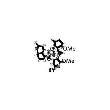 COc1ccc(C)cc1[C@@]1(C(=O)NS(=O)(=O)c2cccc3nc(C)ccc23)C[C@H]1c1ccc(C(C)C)nc1OC